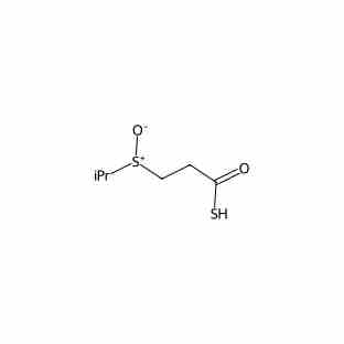 CC(C)[S+]([O-])CCC(=O)S